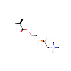 C=C(C)C(=O)OCC/[P+]([O-])=C(\O)C[N+](C)(C)C.[Cl-]